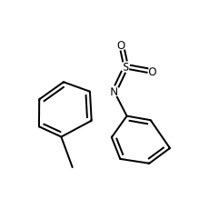 Cc1ccccc1.O=S(=O)=Nc1ccccc1